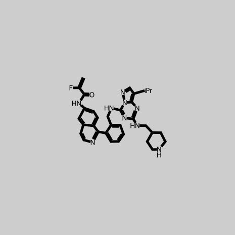 C=C(F)C(=O)Nc1ccc2c(-c3ccccc3CNc3nc(NCC4CCNCC4)nc4c(C(C)C)cnn34)nccc2c1